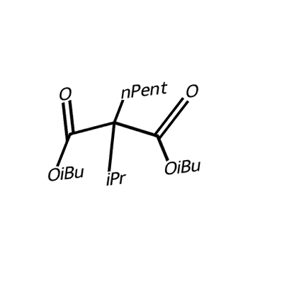 CCCCCC(C(=O)OCC(C)C)(C(=O)OCC(C)C)C(C)C